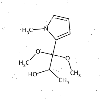 COC(OC)(c1cccn1C)C(C)O